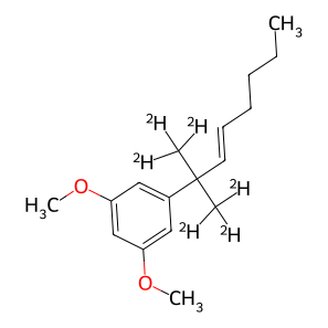 [2H]C([2H])([2H])C(C=CCCCC)(c1cc(OC)cc(OC)c1)C([2H])([2H])[2H]